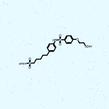 CCCCCCCCCCCCOc1ccc(S(=O)(=O)Nc2ccc(CC[CH]CCS(=O)(=O)CCCCCC)cc2)cc1